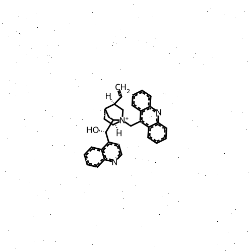 C=C[C@H]1C[N+]2(Cc3c4ccccc4nc4ccccc34)CCC1C[C@@H]2[C@@H](O)c1ccnc2ccccc12